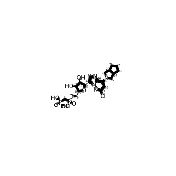 O=P(O)(O)CP(=O)(O)OC[C@H]1O[C@@H](c2cnc3c(N4CC5CCCC5C4)cc(Cl)nn23)[C@H](O)[C@@H]1O